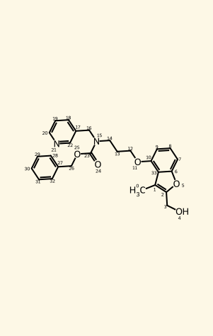 Cc1c(CO)oc2cccc(OCCCN(Cc3cccnc3)C(=O)OCc3ccccc3)c12